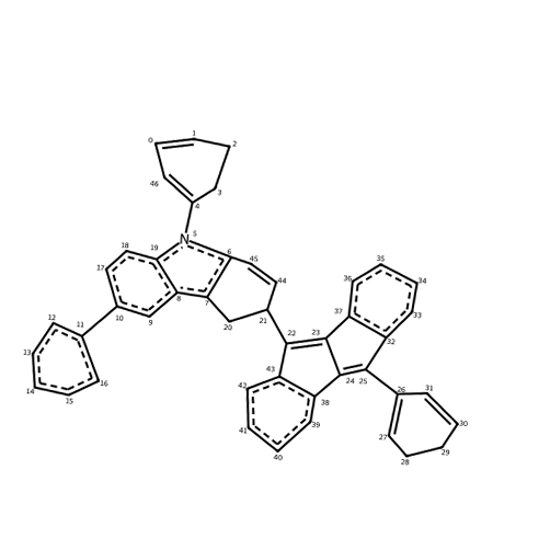 C1=CCCC(n2c3c(c4cc(-c5ccccc5)ccc42)CC(C2=C4C(=C(C5=CCCC=C5)c5ccccc54)c4ccccc42)C=C3)=C1